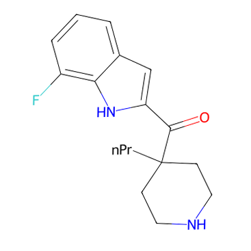 CCCC1(C(=O)c2cc3cccc(F)c3[nH]2)CCNCC1